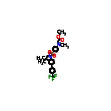 CCOC(=O)CN(C)c1ccc(S(=O)(=O)N2CC(C)(C)c3cc(-c4ccc(C(F)(F)F)cc4)ccc32)cc1